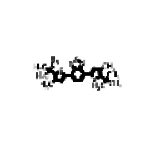 Cc1cc(-c2ccc(-c3cc(C)c(C(C)(C)C)s3)c3nsnc23)sc1C(C)(C)C